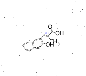 C/C(=C\c1cc2ccccc2cc1O)C(=O)O